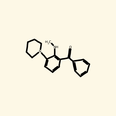 [CH2]Nc1c(C(=O)c2ccccc2)cccc1N1CCCCC1